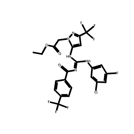 CCOC(=O)Cn1nc(C(F)(F)F)cc1N/C(=N\C(=O)c1ccc(C(F)(F)F)cc1)Nc1cc(F)cc(Cl)c1